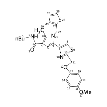 CCCCNC(=O)c1cc(-c2csc(COc3ccc(OC)cc3)n2)n(Cc2cccs2)c1C